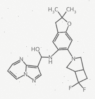 CC1(C)Cc2cc(NC(O)c3cnn4cccnc34)c(N3CC4CC(F)(F)C4C3)cc2O1